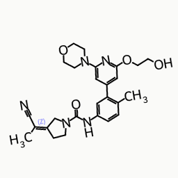 C/C(C#N)=C1\CCN(C(=O)Nc2ccc(C)c(-c3cc(OCCO)nc(N4CCOCC4)c3)c2)C1